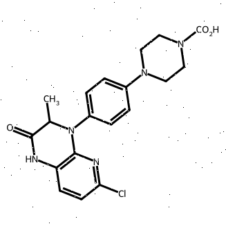 CC1C(=O)Nc2ccc(Cl)nc2N1c1ccc(N2CCN(C(=O)O)CC2)cc1